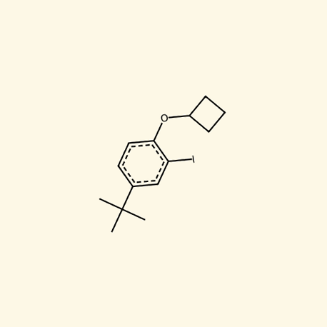 CC(C)(C)c1ccc(OC2CCC2)c(I)c1